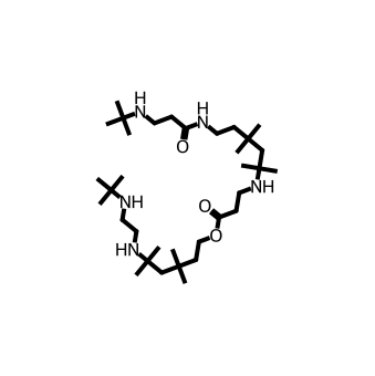 CC(C)(CCNC(=O)CCNC(C)(C)C)CC(C)(C)NCCC(=O)OCCC(C)(C)CC(C)(C)NCCNC(C)(C)C